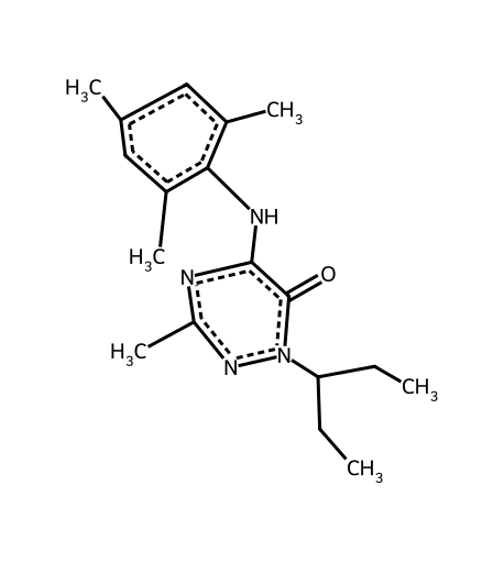 CCC(CC)n1nc(C)nc(Nc2c(C)cc(C)cc2C)c1=O